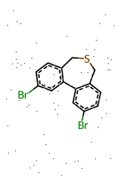 Brc1ccc2c(c1)-c1cc(Br)ccc1CSC2